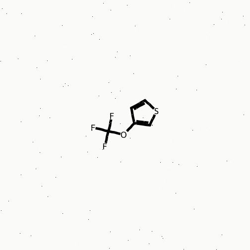 FC(F)(F)Oc1[c]scc1